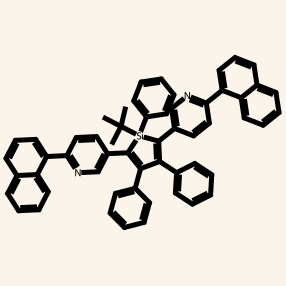 CC(C)(C)[Si]1(c2ccccc2)C(c2ccc(-c3cccc4ccccc34)nc2)=C(c2ccccc2)C(c2ccccc2)=C1c1ccc(-c2cccc3ccccc23)nc1